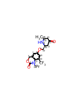 CC(C)N1C(=O)OCc2cc(OC[C@@H]3CC(=O)C[C@H](C)N3)cc(C(F)(F)F)c21